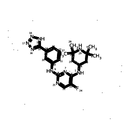 CC1(C)CC(Nc2nc(Nc3cccc(-c4nnn[nH]4)c3)ncc2F)CC(C)(C)N1